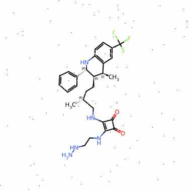 C[C@H](CC[C@@H]1[C@H](C)c2cc(C(F)(F)F)ccc2N[C@H]1c1ccccc1)CNc1c(NCCNN)c(=O)c1=O